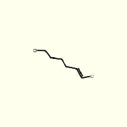 Cl/C=C/CCCCCl